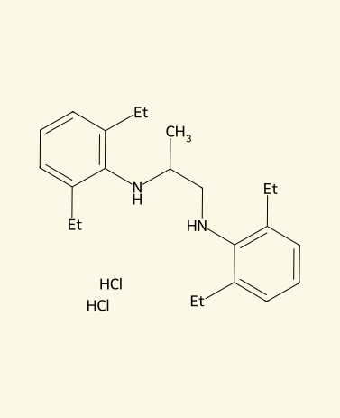 CCc1cccc(CC)c1NCC(C)Nc1c(CC)cccc1CC.Cl.Cl